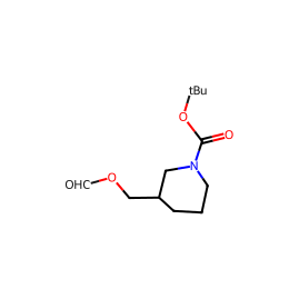 CC(C)(C)OC(=O)N1CCCC(COC=O)C1